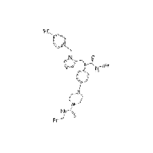 CCCNC(=O)N(Cc1cncn1Cc1ccc(C#N)cc1)c1ccc(N2CCN(C(=S)NCC(C)C)CC2)cc1